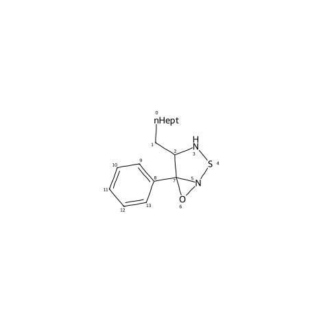 CCCCCCCCC1NSN2OC12c1ccccc1